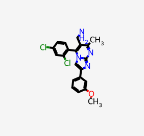 COc1cccc(-c2cn3c(-c4ccc(Cl)cc4Cl)c(CN)c(C)nc3n2)c1